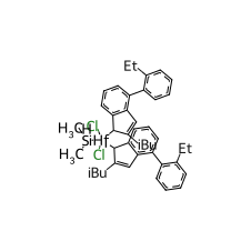 CCc1ccccc1-c1cccc2c1C=C(C(C)CC)[CH]2[Hf]([Cl])([Cl])([CH]1C(C(C)CC)=Cc2c(-c3ccccc3CC)cccc21)[SiH](C)C